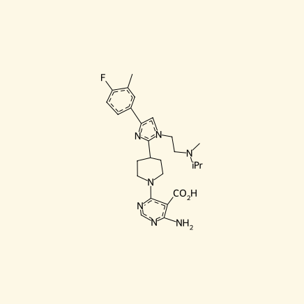 Cc1cc(-c2cn(CCN(C)C(C)C)c(C3CCN(c4ncnc(N)c4C(=O)O)CC3)n2)ccc1F